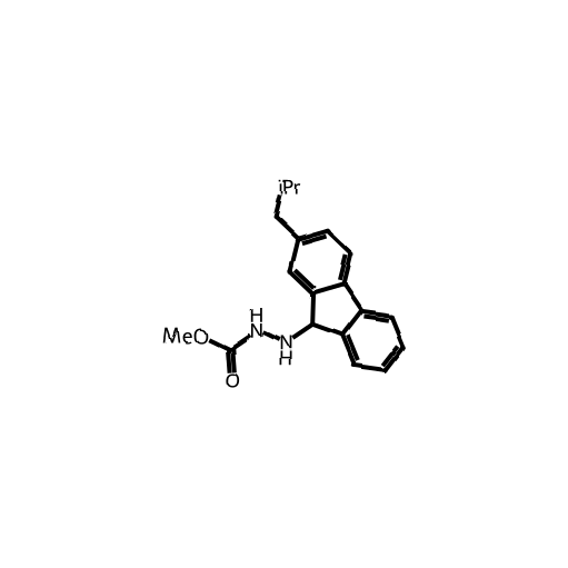 COC(=O)NNC1c2ccccc2-c2ccc(CC(C)C)cc21